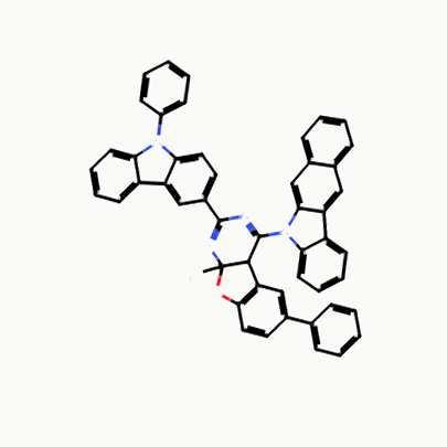 CC12N=C(c3ccc4c(c3)c3ccccc3n4-c3ccccc3)N=C(n3c4ccccc4c4cc5ccccc5cc43)C1c1cc(-c3ccccc3)ccc1O2